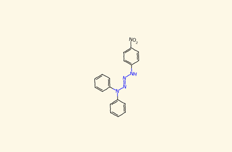 O=[N+]([O-])c1ccc(NN=NN(c2ccccc2)c2ccccc2)cc1